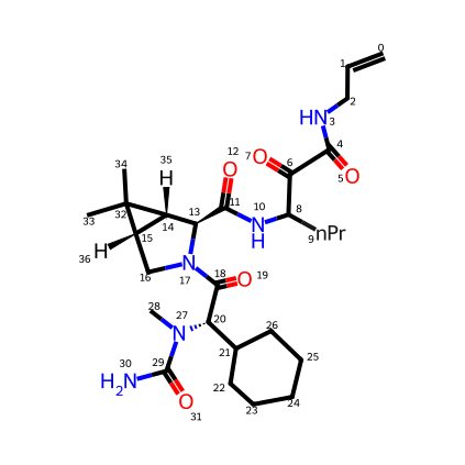 C=CCNC(=O)C(=O)C(CCC)NC(=O)[C@@H]1[C@@H]2[C@H](CN1C(=O)[C@H](C1CCCCC1)N(C)C(N)=O)C2(C)C